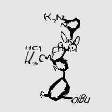 CC(C)COc1cc(F)cc(-c2ccc(C(=O)NS(=O)(=O)c3cccc(N)n3)c(N(C)C)n2)c1.Cl